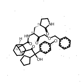 O=C1NCC[C@H]1C[C@H](NC(=O)[C@@H]1C2CCC(CC2)N1C(=O)C(O)(c1ccc(Cl)cc1)C1CCCC1)C(=O)COCc1ccccc1